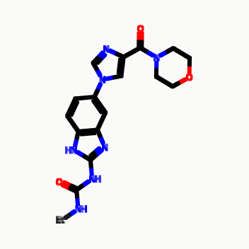 CCNC(=O)Nc1nc2cc(-n3cnc(C(=O)N4CCOCC4)c3)ccc2[nH]1